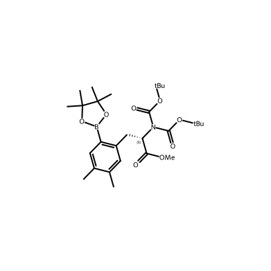 COC(=O)[C@H](Cc1cc(C)c(C)cc1B1OC(C)(C)C(C)(C)O1)N(C(=O)OC(C)(C)C)C(=O)OC(C)(C)C